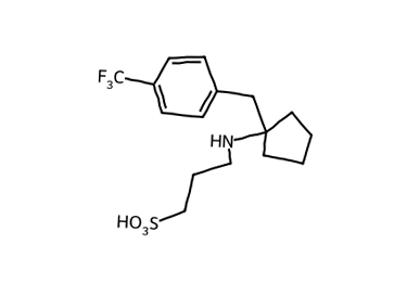 O=S(=O)(O)CCCNC1(Cc2ccc(C(F)(F)F)cc2)CCCC1